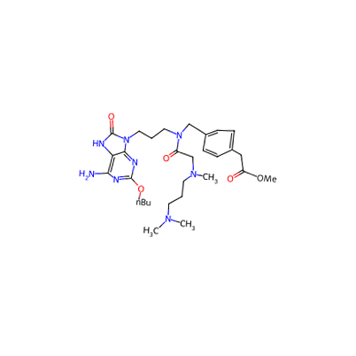 CCCCOc1nc(N)c2[nH]c(=O)n(CCCN(Cc3ccc(CC(=O)OC)cc3)C(=O)CN(C)CCCN(C)C)c2n1